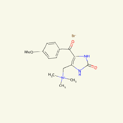 COc1ccc(C(=O)c2[nH]c(=O)[nH]c2C[N+](C)(C)C)cc1.[Br-]